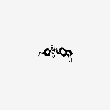 O=S(=O)(NCc1ccc2cc[nH]c2c1)c1ccc(F)cc1